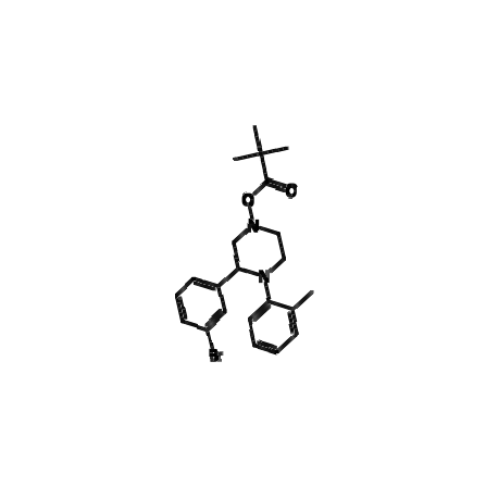 Cc1ccccc1N1CCN(OC(=O)C(C)(C)C)CC1c1cccc(Br)c1